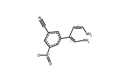 N#Cc1cc(C(/C=C\N)=C/N)cc([N+](=O)[O-])c1